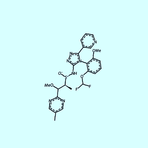 COc1cccc(OC(F)F)c1-n1c(N[S+]([O-])[C@@H](C)C(OC)c2ncc(C)cn2)nnc1-c1cccnc1